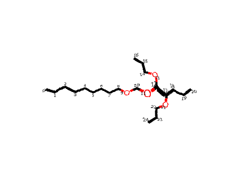 CCCCCCCCCOCO/C(OCCC)=C(/CCC)OCCC